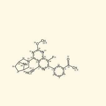 C#Cc1nc(-c2cccc(C(C)=O)c2)c(F)c2nc(OC)nc(N3CC4CCC(C3)N4)c12